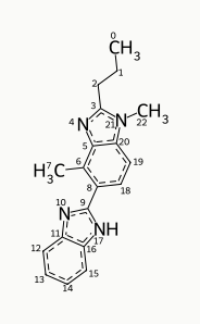 CCCc1nc2c(C)c(-c3nc4ccccc4[nH]3)ccc2n1C